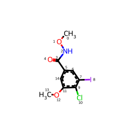 CONC(=O)c1cc(I)c(Cl)c(OC)c1